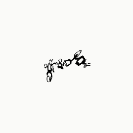 O=C(c1ccc(F)cc1)C1CCN([C@H]2CCN(Cc3nc4c(c(=O)[nH]3)COCC4)C2=O)CC1